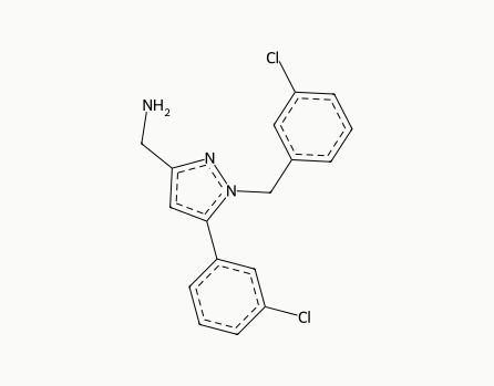 NCc1cc(-c2cccc(Cl)c2)n(Cc2cccc(Cl)c2)n1